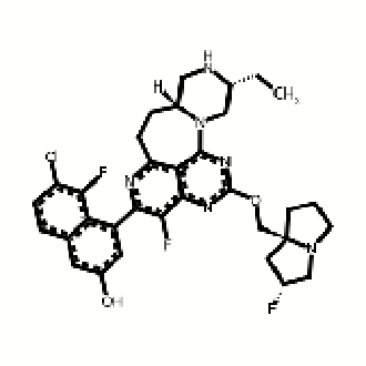 CC[C@@H]1CN2c3nc(OC[C@@]45CCCN4C[C@H](F)C5)nc4c(F)c(-c5cc(O)cc6ccc(Cl)c(F)c56)nc(c34)CC[C@@H]2CN1